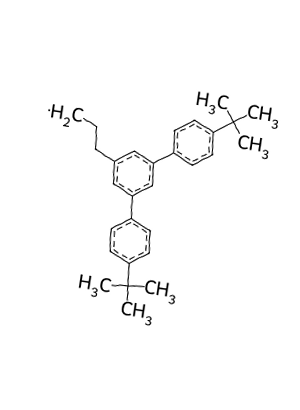 [CH2]CCc1cc(-c2ccc(C(C)(C)C)cc2)cc(-c2ccc(C(C)(C)C)cc2)c1